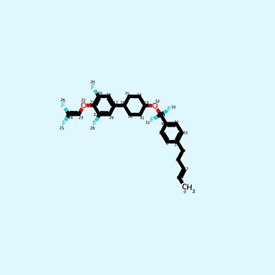 C/C=C/CCc1ccc(C(F)(F)OC2CCC(c3cc(F)c(OC=C(F)F)c(F)c3)CC2)cc1